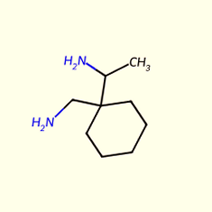 CC(N)C1(CN)CCCCC1